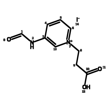 O=CNc1ccc[n+](CCC(=O)O)c1.[I-]